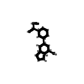 COC(=O)c1cccc(-c2cc(Cl)n3nccc3n2)c1